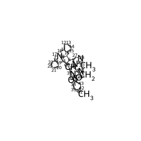 C=NC1C(n2c(C3CC(N(Cc4ccccc4)Cc4ccccc4)CC3C)cnc2C)C=CN1S(=O)(=O)c1ccc(C)cc1